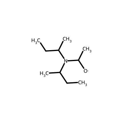 CCC(C)N(C(C)[O])C(C)CC